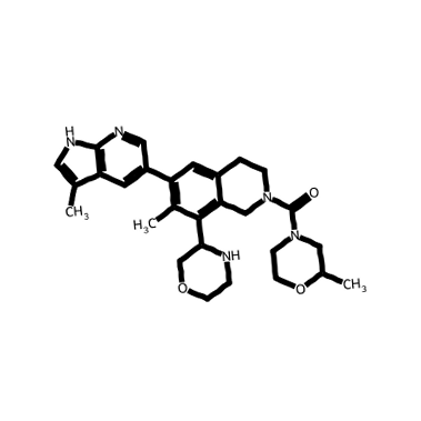 Cc1c(-c2cnc3[nH]cc(C)c3c2)cc2c(c1C1COCCN1)CN(C(=O)N1CCOC(C)C1)CC2